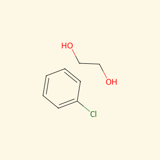 Clc1ccccc1.OCCO